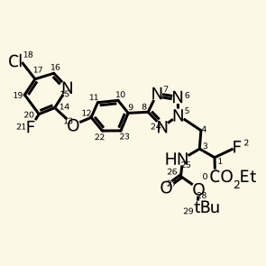 CCOC(=O)C(F)C(Cn1nnc(-c2ccc(Oc3ncc(Cl)cc3F)cc2)n1)NC(=O)OC(C)(C)C